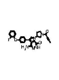 CC#CC(=O)N1CCC(n2cc(-c3ccc(Oc4ccccc4F)cc3)c3c(N)n[nH]c(=O)c32)C1